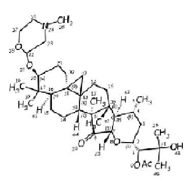 CC(=O)OC([C@H]1C[C@@H](C)[C@H]2[C@H](O1)C(=O)[C@@]1(C)[C@@H]3CC[C@H]4C(C)(C)[C@@H](OC5CN(C)CCO5)CC[C@@]45CC35CC[C@]21C)C(C)(C)O